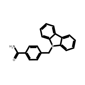 NC(=O)c1ccc(Cn2c3ccccc3c3ccccc32)cc1